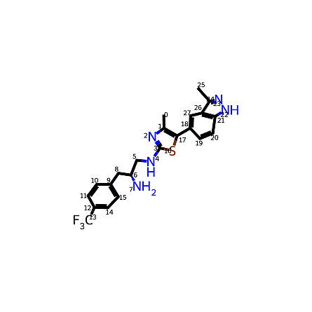 Cc1nc(NC[C@@H](N)Cc2ccc(C(F)(F)F)cc2)sc1-c1ccc2[nH]nc(C)c2c1